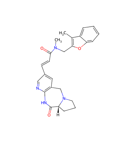 Cc1c(CN(C)C(=O)C=Cc2cnc3c(c2)CN2CCC[C@@H]2C(=O)N3)oc2ccccc12